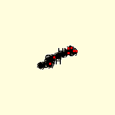 CC(C)(C)OC(=O)N1CCC[C@H]1c1ncc(-c2ccc(-c3ccc(-c4ccc5c(=O)cc(C6CCCN6C(=O)OCc6ccccc6)[nH]c5c4)cc3)cc2)[nH]1